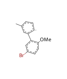 COc1ccc(Br)cc1-c1[c]ccc(C)c1